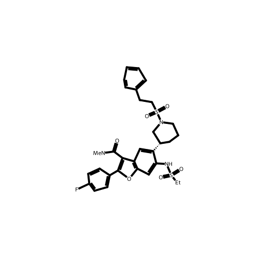 CCS(=O)(=O)Nc1cc2oc(-c3ccc(F)cc3)c(C(=O)NC)c2cc1[C@H]1CCCN(S(=O)(=O)CCc2ccccc2)C1